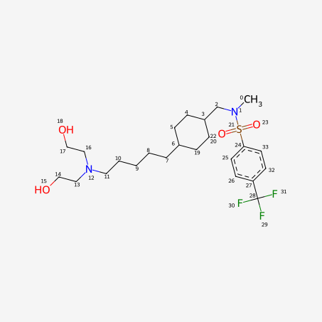 CN(CC1CCC(CCCCCN(CCO)CCO)CC1)S(=O)(=O)c1ccc(C(F)(F)F)cc1